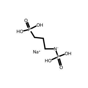 O=P(O)(O)CCC[N-]P(=O)(O)O.[Na+]